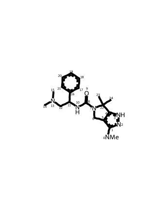 CNc1n[nH]c2c1CN(C(=O)NC(CN(C)C)c1ccccc1)C2(C)C